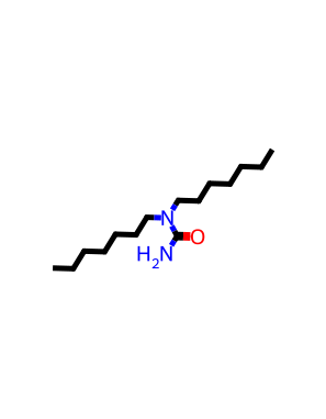 CCCCCCCN(CCCCCCC)C(N)=O